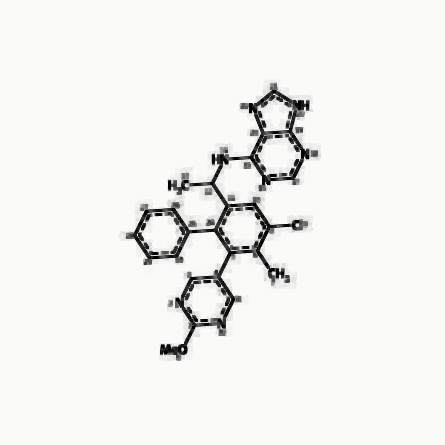 COc1ncc(-c2c(C)c(Cl)cc(C(C)Nc3ncnc4[nH]cnc34)c2-c2ccccc2)cn1